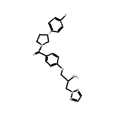 NC(COc1ccc(C(=O)N2CC[C@H](c3ccc(F)cc3)C2)cc1)Cn1nccn1